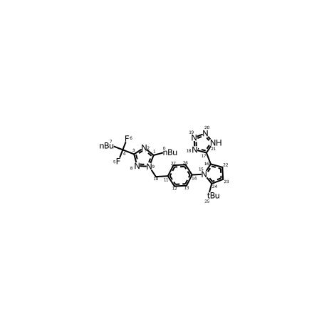 CCCCc1nc(C(F)(F)CCCC)nn1Cc1ccc(-n2c(-c3nnn[nH]3)ccc2C(C)(C)C)cc1